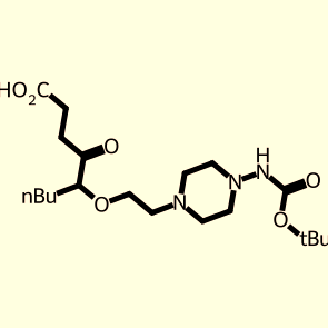 CCCCC(OCCN1CCN(NC(=O)OC(C)(C)C)CC1)C(=O)CCC(=O)O